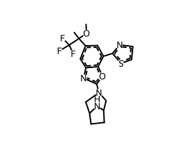 COC(C)(c1cc(-c2nccs2)c2oc(N3CC4CCC(C3)N4)nc2c1)C(F)(F)F